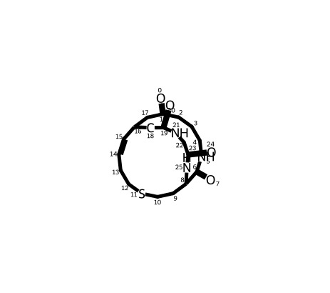 O=C1CCCNC(=O)C2CCSCCC=CC(C1)CC(=O)NCC(=O)N2